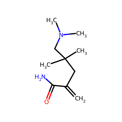 C=C(CC(C)(C)CN(C)C)C(N)=O